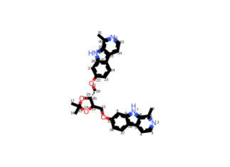 Cc1nccc2c1[nH]c1cc(OCC3OC(C)(C)O[C@@H]3COc3ccc4c(c3)[nH]c3c(C)nccc34)ccc12